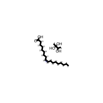 CC(O)C(C)(O)O.CCCCCCCC/C=C\CCCCCCCC(=O)O